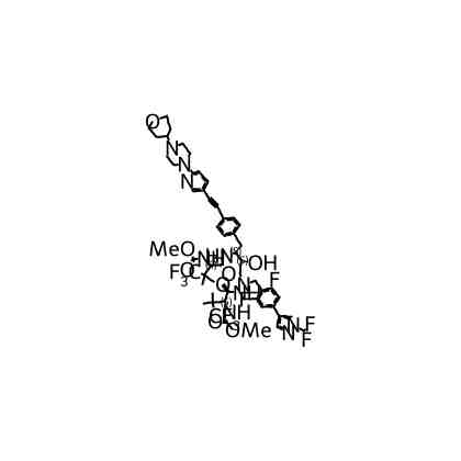 COC(=O)N[C@H](C(=O)N[C@@H](Cc1ccc(C#Cc2ccc(N3CCN(C4CCOCC4)CC3)nc2)cc1)[C@@H](O)CN(Cc1c(F)cc(-c2cnn(C(F)F)c2)cc1F)NC(=O)[C@@H](NC(=O)OC)C(C)(C)C(F)(F)F)C(C)(C)C(F)(F)F